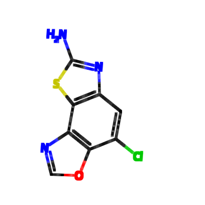 Nc1nc2cc(Cl)c3ocnc3c2s1